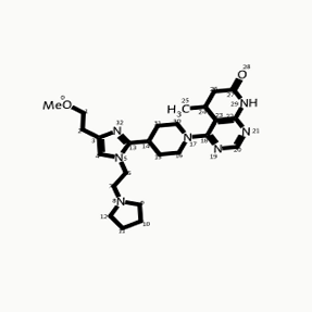 COCCc1cn(CCN2CCCC2)c(C2CCN(c3ncnc4c3C(C)CC(=O)N4)CC2)n1